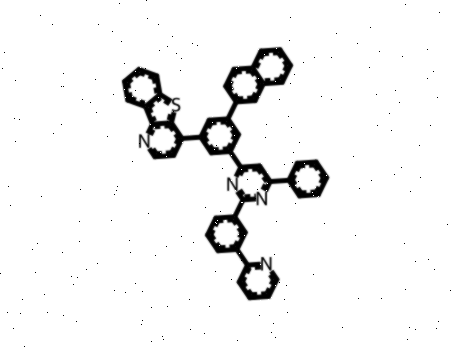 c1ccc(-c2cc(-c3cc(-c4ccc5ccccc5c4)cc(-c4ccnc5c4sc4ccccc45)c3)nc(-c3cccc(-c4ccccn4)c3)n2)cc1